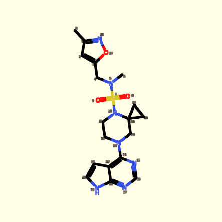 Cc1cc(CN(C)S(=O)(=O)N2CCN(c3ncnc4[nH]ccc34)CC23CC3)on1